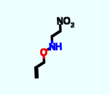 C=CCONCC[N+](=O)[O-]